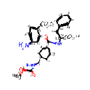 CCCCOC(=O)NC[C@H]1CC[C@H](C(=O)N[C@@H](Cc2ccccc2)C(=O)O)CC1.CCOC(=O)c1ccc(N)cc1